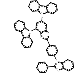 c1ccc(-c2nc3ccccc3n2-c2ccc(-c3nc4c(-n5c6ccccc6c6ccccc65)cc(-n5c6ccccc6c6ccccc65)cc4o3)cc2)cc1